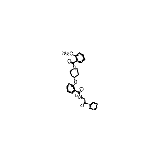 COc1ccccc1C(=O)N1CCC(Oc2ccccc2C(=O)NCC(=O)c2ccccc2)CC1